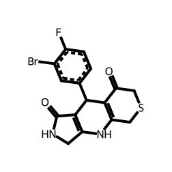 O=C1CSCC2=C1C(c1ccc(F)c(Br)c1)C1=C(CNC1=O)N2